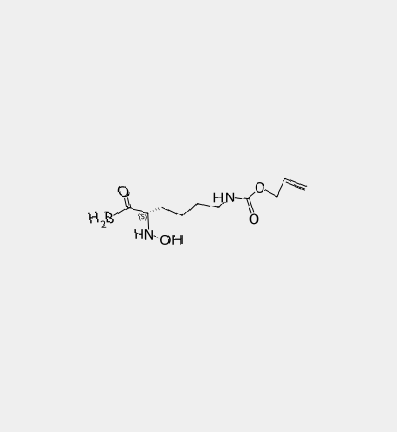 BC(=O)[C@H](CCCCNC(=O)OCC=C)NO